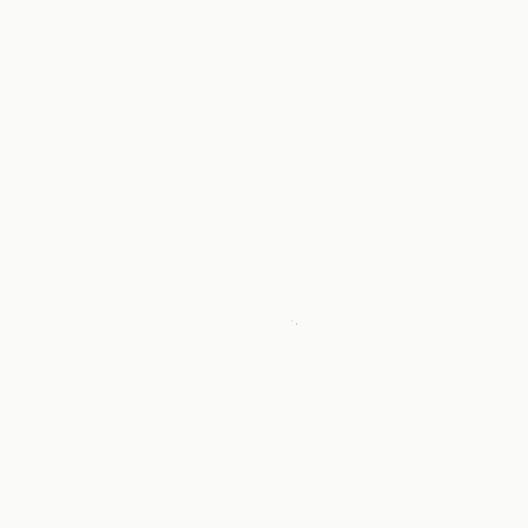 O=[N+]1CCS(Cc2ccccc2)=C1Cc1ccccc1